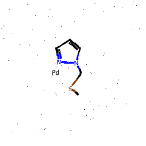 CSCn1cccn1.[Pd]